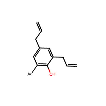 C=CCc1cc(CC=C)c(O)c(C(C)=O)c1